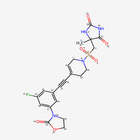 CC1(CS(=O)(=O)N2CC=C(C#Cc3cc(F)cc(N4CCOC4=O)c3)CC2)NC(=O)NC1=O